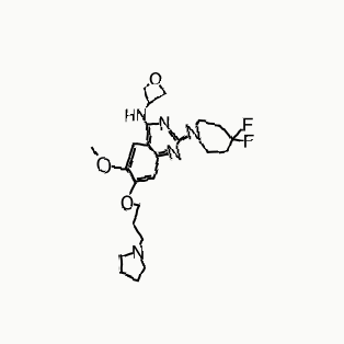 COc1cc2c(NC3COC3)nc(N3CCC(F)(F)CC3)nc2cc1OCCCN1CCCC1